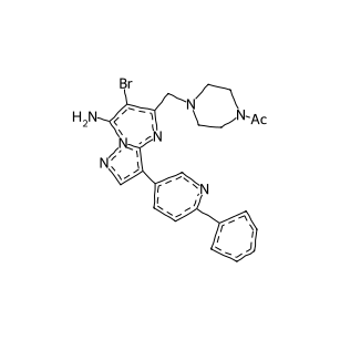 CC(=O)N1CCN(Cc2nc3c(-c4ccc(-c5ccccc5)nc4)cnn3c(N)c2Br)CC1